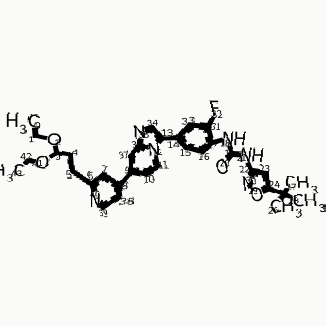 CCOC(CCc1cc(-c2ccn3c(-c4ccc(NC(=O)Nc5cc(C(C)(C)C)on5)c(F)c4)cnc3c2)ccn1)OCC